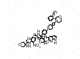 CC(C)Oc1ccccc1[C@@H]1COCCCN1C1CC2(CCN(c3ccc(C(=O)NS(=O)(=O)c4cc5c(c([N+](=O)[O-])c4)N[C@@H](C4(F)CCOCC4)CO5)c(N4c5cc6cc[nH]c6nc5O[C@H]5COCC[C@@H]54)c3)CC2)C1